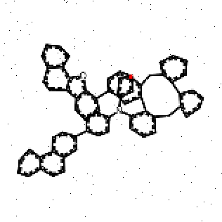 c1ccc2c(c1)Cc1ccccc1-c1c(cccc1N(c1ccc(-c3ccc4c(ccc5ccccc54)c3)cc1)c1ccccc1-c1cccc3c1oc1c4ccccc4ccc31)Cc1ccccc1-2